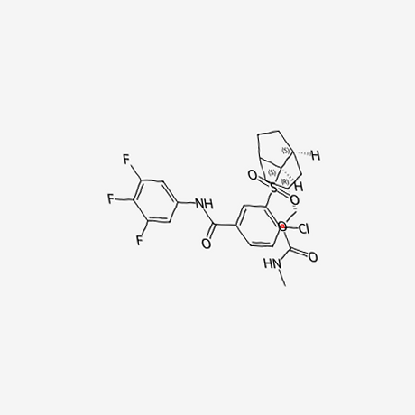 CNC(=O)OC[C@@H]1CC2CC[C@@H](C1)[C@H]2S(=O)(=O)c1cc(C(=O)Nc2cc(F)c(F)c(F)c2)ccc1Cl